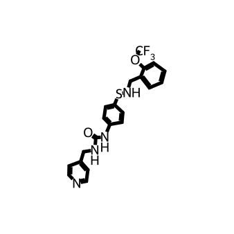 O=C(NCc1ccncc1)Nc1ccc(SNCc2ccccc2OC(F)(F)F)cc1